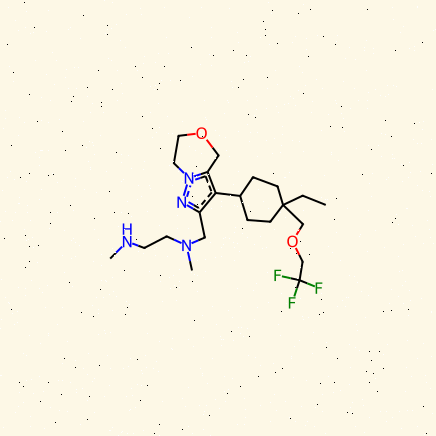 CCC1(COCC(F)(F)F)CCC(c2c(CN(C)CCNC)nn3c2COCC3)CC1